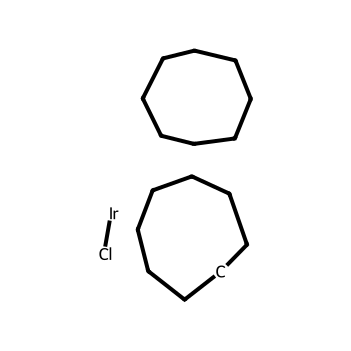 C1CCCCCCC1.C1CCCCCCC1.[Cl][Ir]